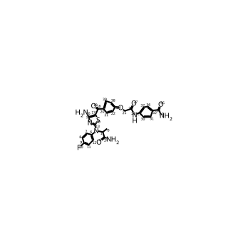 CC(C(N)=O)N(c1ccc(F)cc1)c1nc(N)c(C(=O)c2ccc(OCC(=O)Nc3ccc(C(N)=O)cc3)cc2)s1